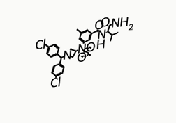 Cc1cc(C(=O)N[C@H](C(N)=O)C(C)C)cc(N(C2CN(C(c3ccc(Cl)cc3)c3ccc(Cl)cc3)C2)S(C)(=O)=O)c1